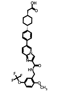 COc1ccc(OC(F)(F)F)cc1CNC(=O)c1cn2cc(-c3ccc([C@H]4CC[C@H](CC(=O)O)CC4)cc3)ccc2n1